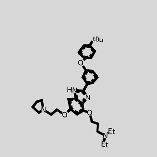 CCN(CC)CCCOc1cc(OCCN2CCCC2)cc2[nH]c(-c3cccc(Oc4ccc(C(C)(C)C)cc4)c3)nc12